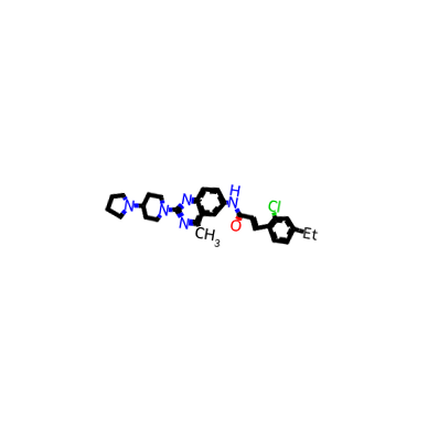 CCc1ccc(C=CC(=O)Nc2ccc3nc(N4CCC(N5CCCC5)CC4)nc(C)c3c2)c(Cl)c1